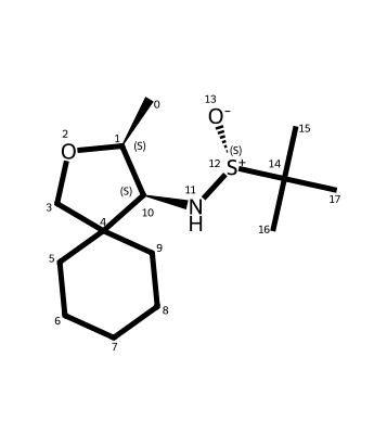 C[C@@H]1OCC2(CCCCC2)[C@@H]1N[S@+]([O-])C(C)(C)C